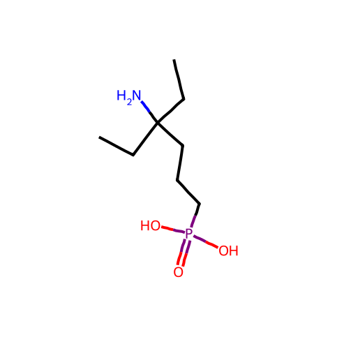 CCC(N)(CC)CCCP(=O)(O)O